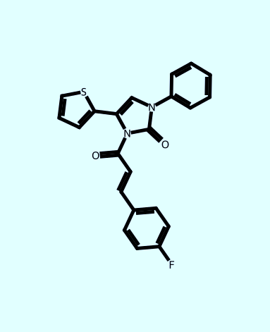 O=C(C=Cc1ccc(F)cc1)n1c(-c2cccs2)cn(-c2ccccc2)c1=O